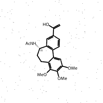 C=C(O)c1ccc2c(c1)[C@@H](NC(C)=O)CCc1c-2cc(OC)c(OC)c1OC